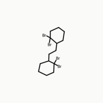 BrC1(Br)CCCCC1CCC1CCCCC1(Br)Br